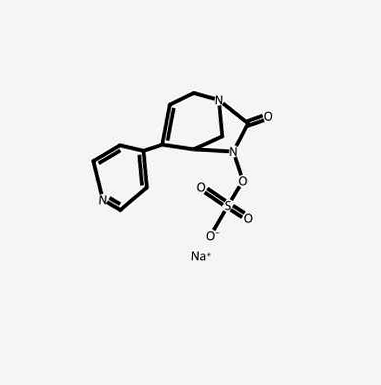 O=C1N2CC=C(c3ccncc3)C(C2)N1OS(=O)(=O)[O-].[Na+]